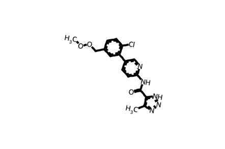 COOCc1ccc(Cl)c(-c2ccc(NC(=O)c3[nH]nnc3C)nc2)c1